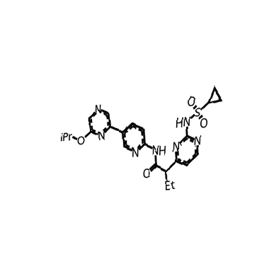 CCC(C(=O)Nc1ccc(-c2cncc(OC(C)C)n2)cn1)c1ccnc(NS(=O)(=O)C2CC2)n1